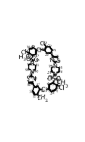 CC1(Cl)C=CC=CC1S(=O)(=O)N1CCN(c2nc(-c3ccc(Cl)c(Cl)c3)cs2)CC1.Cc1ccc(-c2csc(N3CCN(S(=O)(=O)C4C=CC=CC4(C)Cl)CC3)n2)cc1C